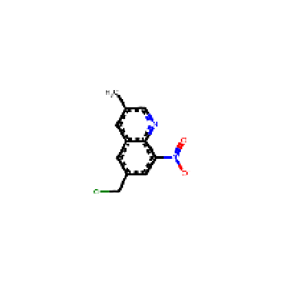 Cc1cnc2c([N+](=O)[O-])cc(CCl)cc2c1